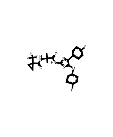 CC(C)(NC(=O)C1(C(F)(F)F)CC1)C(=O)Nc1nc(-c2ccc(F)cc2)c(Oc2ccc(F)cc2)s1